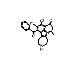 CC1CC(=O)c2c(Cl)c(Cl)c(C(=O)c3ccccc3)c3c4c(n1c23)CCNCC4